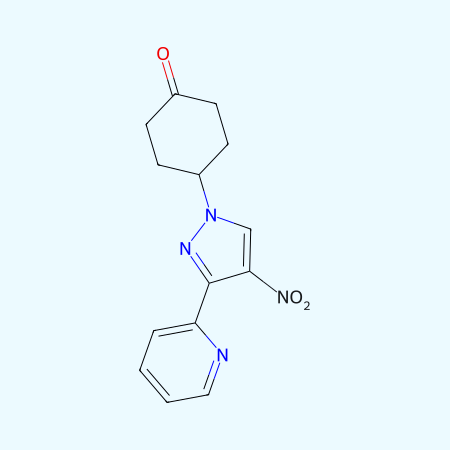 O=C1CCC(n2cc([N+](=O)[O-])c(-c3ccccn3)n2)CC1